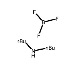 CCCCNCCCC.FB(F)F